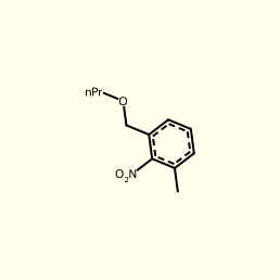 CCCOCc1cccc(C)c1[N+](=O)[O-]